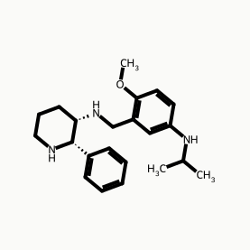 COc1ccc(NC(C)C)cc1CN[C@H]1CCCN[C@H]1c1ccccc1